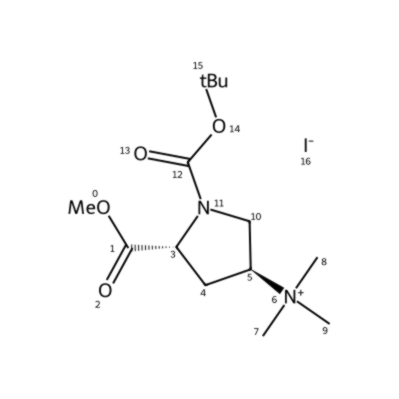 COC(=O)[C@H]1C[C@H]([N+](C)(C)C)CN1C(=O)OC(C)(C)C.[I-]